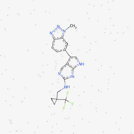 Cn1nnc2ccc(-c3c[nH]c4nc(NCC5(C(F)(F)F)CC5)ncc34)cc21